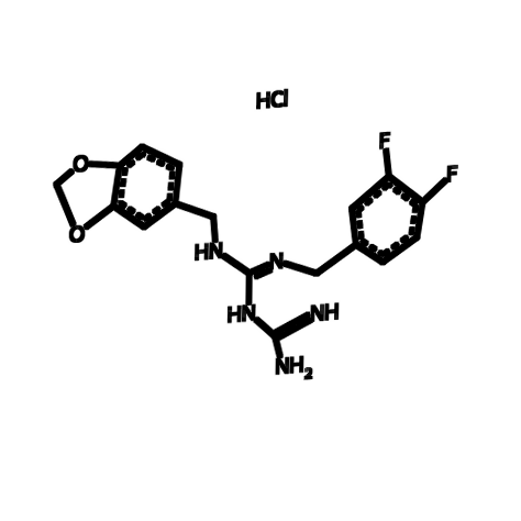 Cl.N=C(N)NC(=NCc1ccc(F)c(F)c1)NCc1ccc2c(c1)OCO2